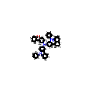 c1ccc(N2c3cc(N(c4ccc5oc6ccccc6c5c4)c4ccc5c(c4)c4ccccc4n5-c4ccccc4)ccc3-c3cccc4cccc2c34)cc1